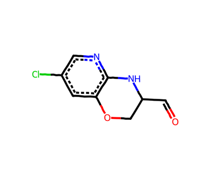 O=CC1COc2cc(Cl)cnc2N1